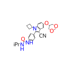 CC(C)NC(=O)Nc1ccc(-c2c(C#N)c3cc(OC4COCOC4)ccc3n2C2CCC2)cc1